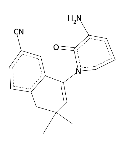 CC1(C)C=C(n2cccc(N)c2=O)c2cc(C#N)ccc2C1